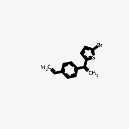 C=Cc1ccc(C(=C)c2ccc(Br)s2)cc1